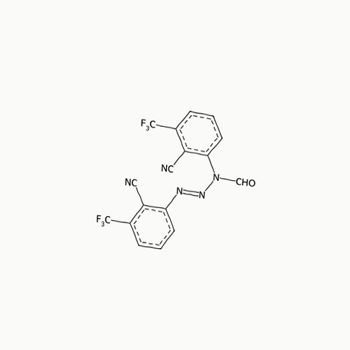 N#Cc1c(N=NN(C=O)c2cccc(C(F)(F)F)c2C#N)cccc1C(F)(F)F